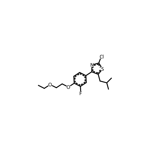 CCOCCOc1ccc(-c2nc(Cl)sc2CC(C)C)cc1F